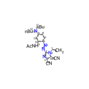 C=Cn1c(N=Nc2ccc(N(CCCC)CCCC)cc2NC(C)=O)nc(C#N)c1C#N